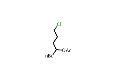 CCCCC(CCCCl)OC(C)=O